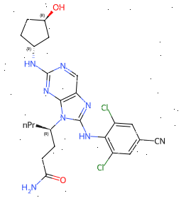 CCC[C@H](CCC(N)=O)n1c(Nc2c(Cl)cc(C#N)cc2Cl)nc2cnc(N[C@@H]3CC[C@@H](O)C3)nc21